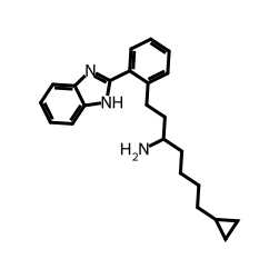 NC(CCCCC1CC1)CCc1ccccc1-c1nc2ccccc2[nH]1